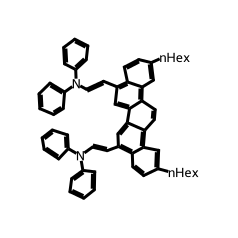 CCCCCCc1ccc2c(/C=C/N(c3ccccc3)c3ccccc3)cc3c(ccc4c5cc(CCCCCC)ccc5c(/C=C/N(c5ccccc5)c5ccccc5)cc43)c2c1